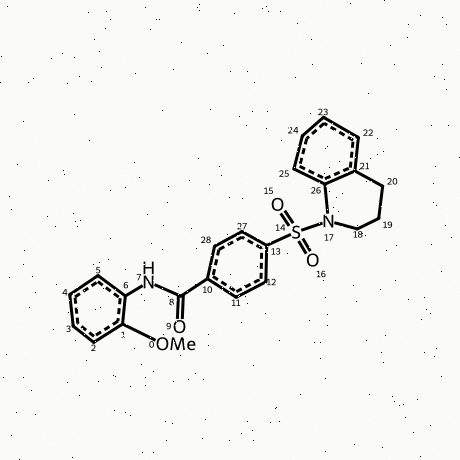 COc1ccccc1NC(=O)c1ccc(S(=O)(=O)N2CCCc3ccccc32)cc1